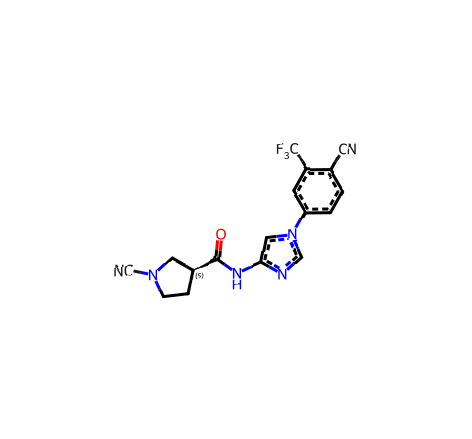 N#Cc1ccc(-n2cnc(NC(=O)[C@H]3CCN(C#N)C3)c2)cc1C(F)(F)F